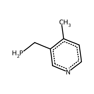 Cc1ccncc1CP